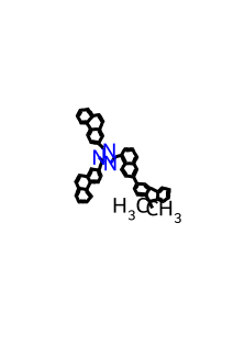 CC1(C)c2ccccc2-c2cc(-c3ccc4c(-c5nc(-c6ccc7c(ccc8ccccc87)c6)nc(-c6ccc7c(ccc8ccccc87)c6)n5)cccc4c3)ccc21